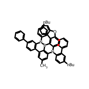 CCCCc1ccc(N2B3c4c(cc(C)cc4N(c4ccc(CCCC)cc4-c4ccccc4)c4ccc5oc6ccccc6c5c43)-c3ccc(-c4ccccc4)cc32)cc1